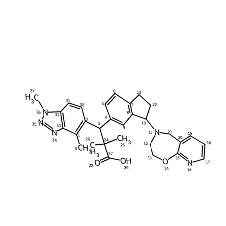 Cc1c(C(c2ccc3c(c2)C(N2CCOc4ncccc4C2)CC3)C(C)(C)C(=O)O)ccc2c1nnn2C